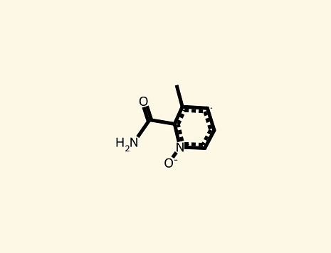 Cc1[c]cc[n+]([O-])c1C(N)=O